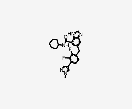 Cn1cc(-c2ccc(Cc3cc(C(=O)NC4CCCCC4)c4[nH]cnc4c3)c(F)c2F)cn1